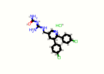 Cl.NC(=O)/N=C(\N)NCc1cnc(-c2ccc(Cl)cc2)c(-c2ccc(Cl)cc2)c1